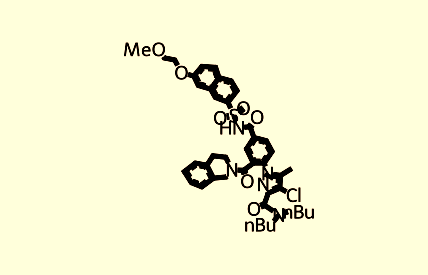 CCCCN(CCCC)C(=O)c1nn(-c2ccc(C(=O)NS(=O)(=O)c3ccc4ccc(OCCOC)cc4c3)cc2C(=O)N2CCc3ccccc3C2)c(C)c1Cl